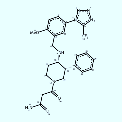 COc1ccc(-n2nnnc2C(F)(F)F)cc1CN[C@H]1CCN(C(=O)CC(N)=O)C[C@H]1c1ccccc1